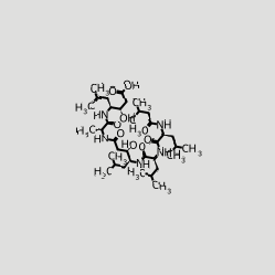 CC(C)CC(=O)N[C@@H](CC(C)C)C(=O)N[C@@H](CC(C)C)C(=O)N[C@@H](CC(C)C)[C@@H](O)CC(=O)N[C@@H](C)C(=O)N[C@@H](CC(C)C)[C@@H](O)CC(=O)O